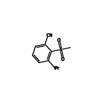 CC(C)c1cccc(C#N)c1S(C)(=O)=O